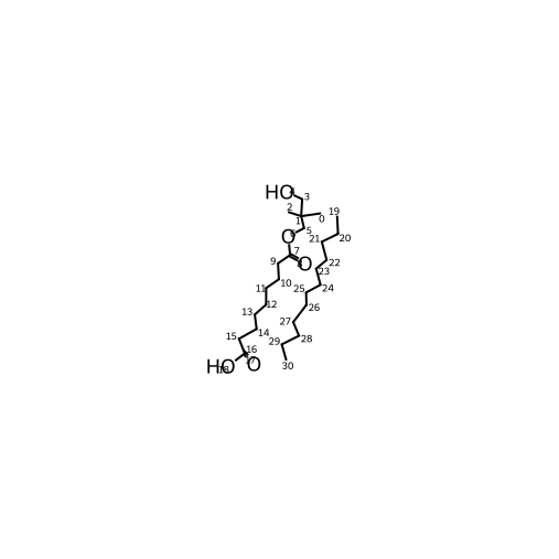 CC(C)(CO)COC(=O)CCCCCCCC(=O)O.CCCCCCCCCCCC